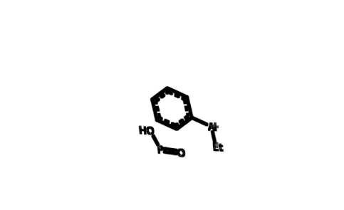 C[CH2][Al][c]1ccccc1.O=PO